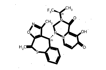 C=C1Sc2ccccc2[C@@H](N2CN([C@H](C)C(F)(F)F)C(=O)c3c(O)c(=O)ccn32)c2c(C)noc21